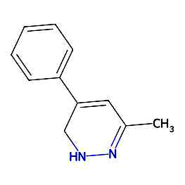 CC1=NNCC(c2ccccc2)=C1